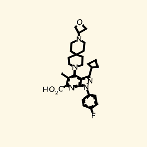 Cc1c(C(=O)O)nc2c(c(C3CCC3)nn2-c2ccc(F)cc2)c1N1CCC2(CC1)CCN(C1COC1)CC2